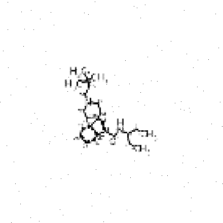 CCC(CC)NC(=O)C1=CC2(CCN(CCC(C)(C)C)CC2)c2ccccc21